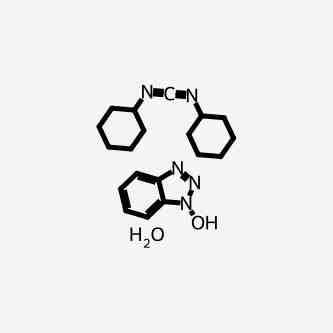 C(=NC1CCCCC1)=NC1CCCCC1.O.On1nnc2ccccc21